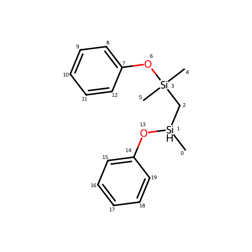 C[SiH](C[Si](C)(C)Oc1ccccc1)Oc1ccccc1